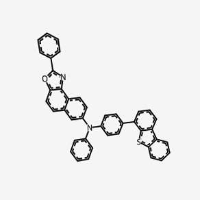 c1ccc(-c2nc3c(ccc4cc(N(c5ccccc5)c5ccc(-c6cccc7c6sc6ccccc67)cc5)ccc43)o2)cc1